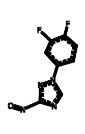 O=Nc1ncn(-c2ccc(F)c(F)c2)n1